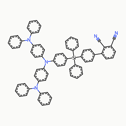 N#Cc1cccc(-c2ccc([Si](c3ccccc3)(c3ccccc3)c3ccc(N(c4ccc(N(c5ccccc5)c5ccccc5)cc4)c4ccc(N(c5ccccc5)c5ccccc5)cc4)cc3)cc2)c1C#N